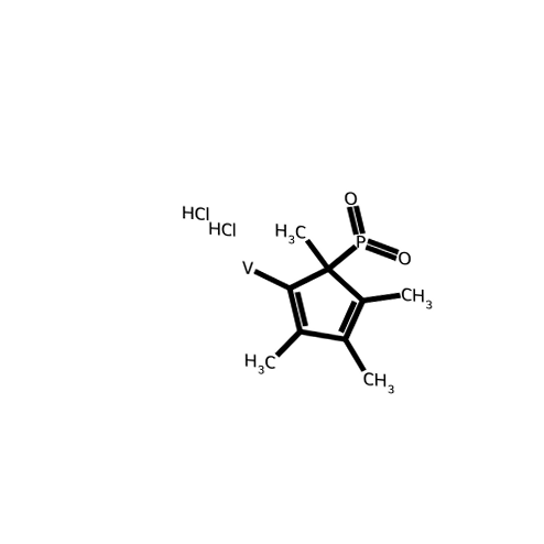 CC1=C(C)C(C)(P(=O)=O)[C]([V])=C1C.Cl.Cl